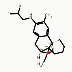 Cc1cc2c(cc1NCC(F)F)C[C@H]1[C@H]3CCCC[C@@]23CCN1C